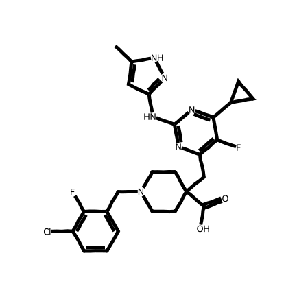 Cc1cc(Nc2nc(CC3(C(=O)O)CCN(Cc4cccc(Cl)c4F)CC3)c(F)c(C3CC3)n2)n[nH]1